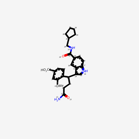 COc1cc(C(=O)O)ccc1C(CCC(N)=O)c1c[nH]c2ccc(C(=O)NCC3CCCC3)cc12